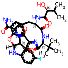 CC(C)[C@H](O)C(=O)N[C@H]1Cc2ccc3c(c2)[C@@]2(c4cc(F)ccc4N[C@@H]2O3)c2oc(nc2-c2nc(C(N)=O)co2)[C@H](C(C)(C)C)NC1=O